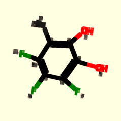 CCCCc1c(O)c(O)c(F)c(F)c1F